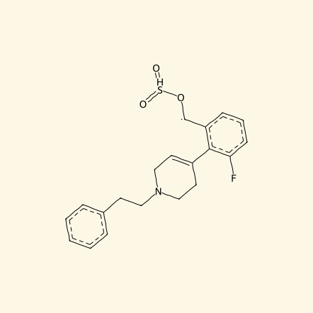 O=[SH](=O)O[CH]c1cccc(F)c1C1=CCN(CCc2ccccc2)CC1